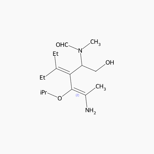 CCC(CC)=C(/C(OC(C)C)=C(\C)N)C(CO)N(C)C=O